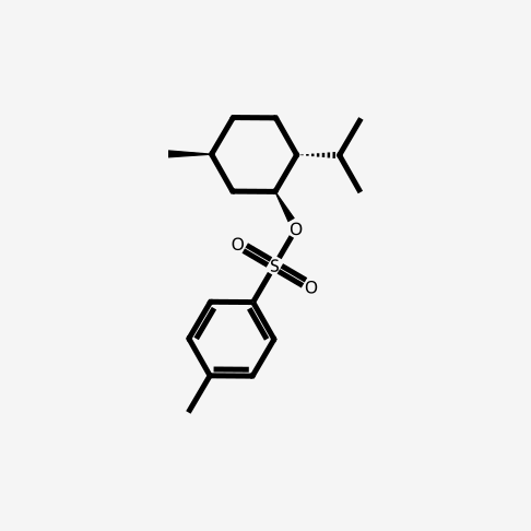 Cc1ccc(S(=O)(=O)O[C@H]2C[C@@H](C)CC[C@@H]2C(C)C)cc1